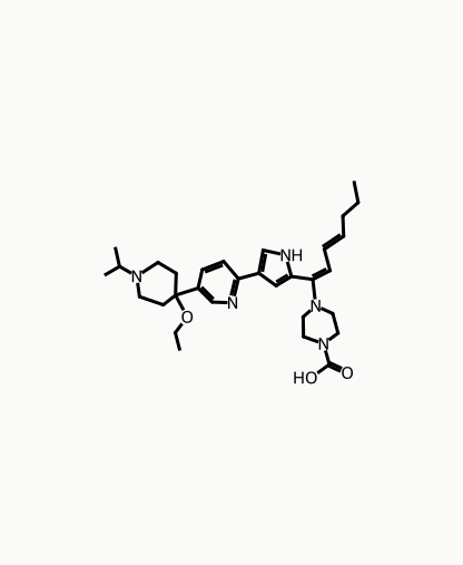 CCC/C=C/C=C(\c1cc(-c2ccc(C3(OCC)CCN(C(C)C)CC3)cn2)c[nH]1)N1CCN(C(=O)O)CC1